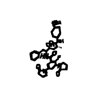 C[C@H](C[C@H](O)[C@H](Cc1ccccc1)NC(=O)c1cc(N2CCCC2=O)cc(N2CCCC2=O)c1F)C(=O)NC1CCC(C(C)(C)C)CC1